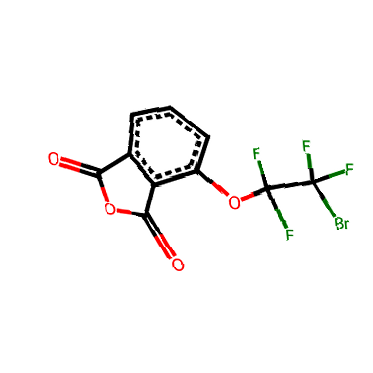 O=C1OC(=O)c2c(OC(F)(F)C(F)(F)Br)cccc21